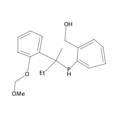 CCC(C)(Pc1ccccc1CO)c1ccccc1OCOC